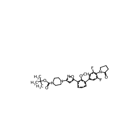 COc1c(-c2cc(F)c(N3CCCC3=O)c(F)c2)cccc1-c1cc(N2CCN(C(=O)OC(C)(C)C)CC2)no1